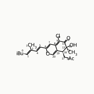 CC[C@H](C)/C=C(C)/C=C/C1=CC2=C(Cl)C(=O)[C@](C)(O)[C@@H](CC(C)=O)C2=CO1